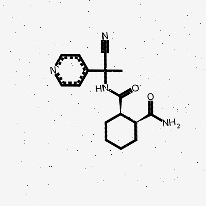 CC(C#N)(NC(=O)[C@@H]1CCCC[C@@H]1C(N)=O)c1ccncc1